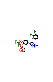 Fc1cccc(Cc2c[nH]nc2-c2ccc(OC(F)F)c(OC3CCCO3)c2)c1F